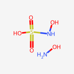 NO.O=S(=O)(O)NO